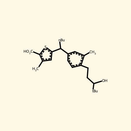 CCCCC(c1ccc(CCC(O)C(C)(C)C)c(C)c1)c1cc(C)c(C(=O)O)s1